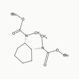 CN(C(=O)OC(C)(C)C)[C@@H]1CCCC[C@@H]1N(C)C(=O)OC(C)(C)C